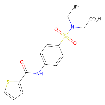 CC(C)CN(CC(=O)O)S(=O)(=O)c1ccc(NC(=O)c2cccs2)cc1